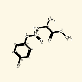 COC(=O)[C@H](C)N[PH](=O)Oc1ccc(Br)cc1